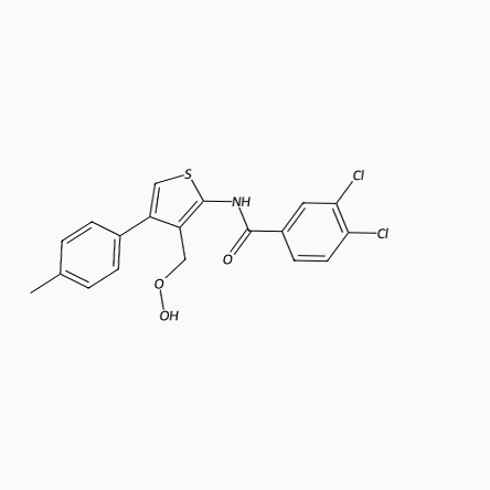 Cc1ccc(-c2csc(NC(=O)c3ccc(Cl)c(Cl)c3)c2COO)cc1